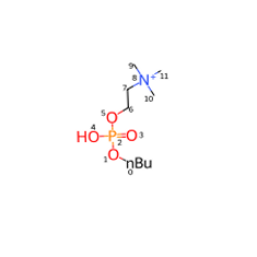 CCCCOP(=O)(O)OCC[N+](C)(C)C